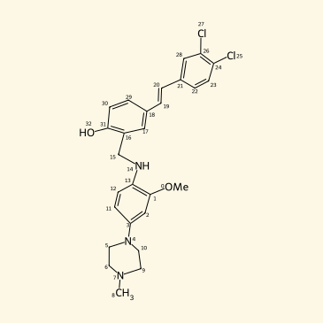 COc1cc(N2CCN(C)CC2)ccc1NCc1cc(/C=C/c2ccc(Cl)c(Cl)c2)ccc1O